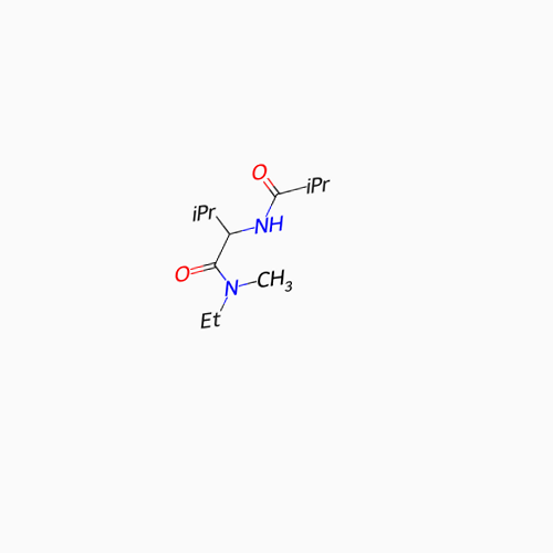 CCN(C)C(=O)C(NC(=O)C(C)C)C(C)C